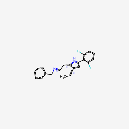 C/C=c1/cc(-c2c(F)cccc2F)[nH]/c1=C/C=N/Cc1ccccc1